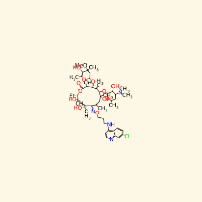 CC[C@@H]1OC(=O)[C@H](C)[C@H](OC2CC(C)(OC)C(O)C(C)O2)[C@@H](C)[C@@H](OC2OC(C)CC(N(C)C)C2O)[C@](C)(O)C[C@@H](C)/C(=N\OCCCNc2ccnc3cc(Cl)ccc23)[C@@H](C)[C@H](O)[C@]1(C)O